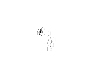 CC(=O)On1nnnc1COc1cc(-n2c(=O)cc(C(F)(F)F)n(C)c2=O)c(Cl)cc1Cl